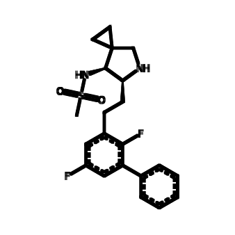 CS(=O)(=O)N[C@@H]1[C@H](CCc2cc(F)cc(-c3ccccc3)c2F)NCC12CC2